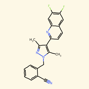 Cc1nn(Cc2ccccc2C#N)c(C)c1-c1ccc2cc(F)c(F)cc2n1